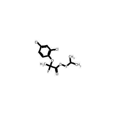 CC(C)SOC(=O)C(C)(F)Oc1ccc(Cl)cc1Cl